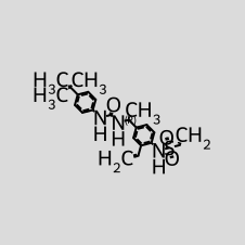 C=Cc1cc([C@@H](C)NC(=O)Nc2ccc(C(C)(C)C)cc2)ccc1NS(=O)(=O)C=C